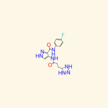 O=C(CCC1NC=NN1)Nc1c[nH]nc1C(=O)Nc1ccc(F)cc1